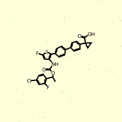 CC(OC(=O)Nc1cc(F)sc1-c1ccc(-c2ccc(C3(C(=O)O)CC3)cc2)cc1)c1ccc(Cl)cc1F